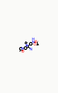 Cc1cccn(-c2ccc3c(C#N)c(-c4ccc(NC(=O)O[C@H](C)C5CC5)cc4)n(C4CCC4)c3c2)c1=O